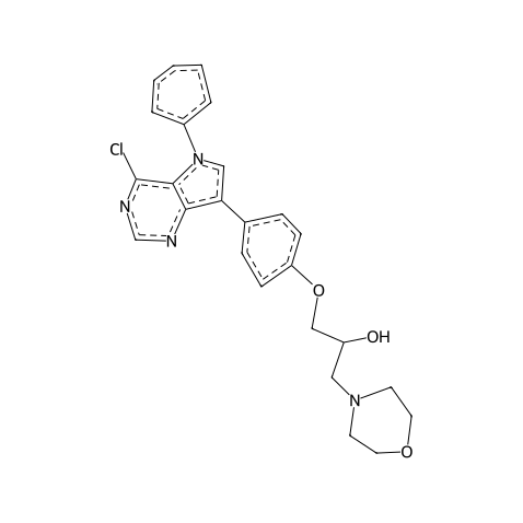 OC(COc1ccc(-c2cn(-c3ccccc3)c3c(Cl)ncnc23)cc1)CN1CCOCC1